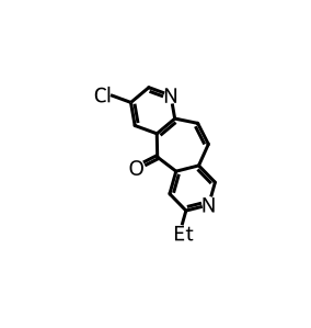 CCc1cc2c(=O)c3cc(Cl)cnc3ccc2cn1